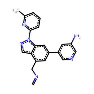 C=NCc1cc(-c2cncc(N)c2)cc2c1cnn2-c1cccc(C(F)(F)F)n1